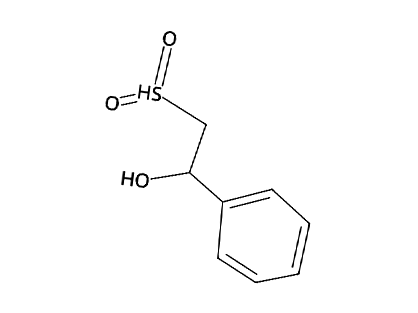 O=[SH](=O)CC(O)c1ccccc1